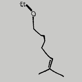 C[CH]OCCCC=C(C)C